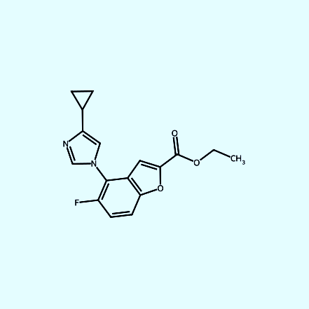 CCOC(=O)c1cc2c(-n3cnc(C4CC4)c3)c(F)ccc2o1